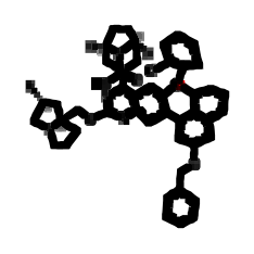 O=C(O)N1[C@@H]2CC[C@H]1CN(c1nc(OC[C@@]34CCCN3C[C@H](F)C4)nc3cc(-c4cc(OCc5ccccc5)cc5cccc(Cl)c45)c(Oc4ccccc4Cl)cc13)C2